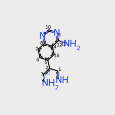 N=C/C(=C\N)c1ccc2ncnc(N)c2c1